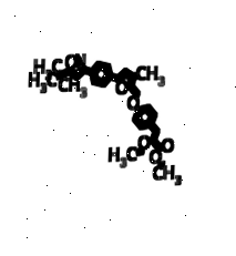 CCOC(=O)C(Cc1ccc(OCc2oc(-c3ccc(-c4cc(C(C)(C)C)on4)cc3)cc2C)cc1)OCC